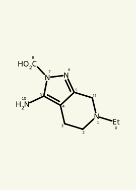 CCN1CCc2c(nn(C(=O)O)c2N)C1